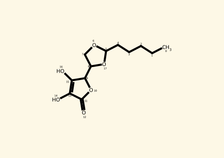 CCCCCC1OCC(C2OC(=O)C(O)=C2O)O1